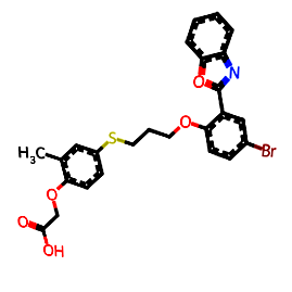 Cc1cc(SCCCOc2ccc(Br)cc2-c2nc3ccccc3o2)ccc1OCC(=O)O